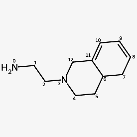 NCCN1CCC2CC=CC=C2C1